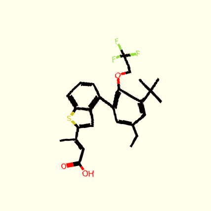 CCc1cc(-c2cccc3sc(C(C)=CC(=O)O)cc23)c(OCC(F)(F)F)c(C(C)(C)C)c1